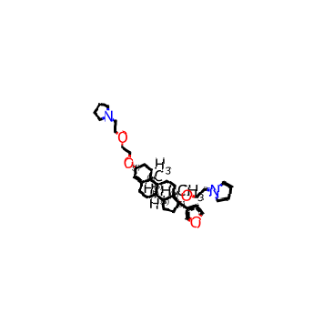 C[C@]12CC[C@H](OCCOCCN3CCCC3)C=C1CC[C@@H]1[C@@H]2CC[C@@]2(C)[C@H]1CC[C@@]2(OCCN1CCCC1)c1ccoc1